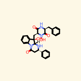 O=C1N[C@@H](Cc2ccccc2)C(=O)N(O)[C@H]1C[C@@]1(O)c2ccccc2N2C(=O)C[C@@H](c3ccccc3)N[C@H]21